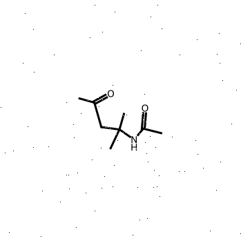 CC(=O)CC(C)(C)NC(C)=O